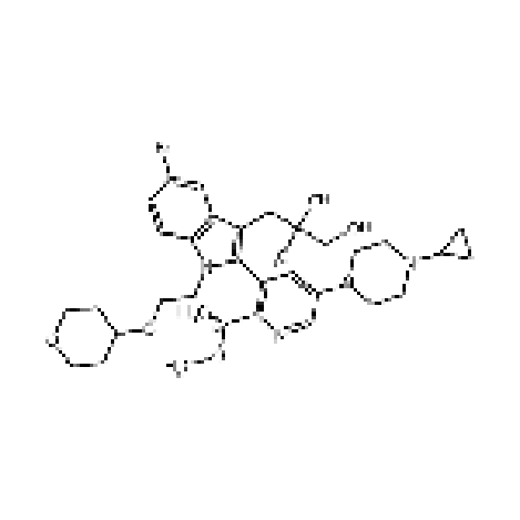 CO[C@@H](C)c1ncc(N2CCN(C3CC3)CC2)cc1-c1c(CC(C)(C)CO)c2cc(Br)ccc2n1CCOC1CCOCC1